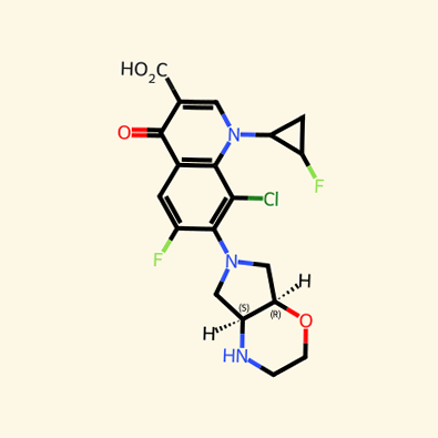 O=C(O)c1cn(C2CC2F)c2c(Cl)c(N3C[C@@H]4NCCO[C@@H]4C3)c(F)cc2c1=O